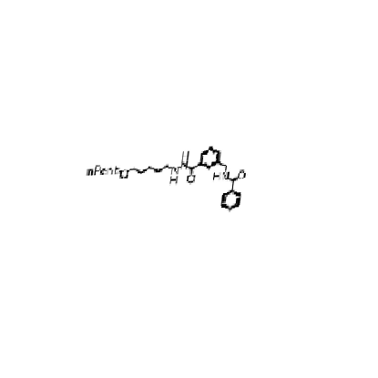 CCCCCOCCCCCNNC(=O)c1cccc(CNC(=O)c2ccccc2)c1